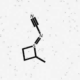 CC1CC/S1=N\C#N